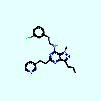 CCCc1nn(C)c2c(NCCc3cccc(Cl)c3)nc(CCc3cccnc3)nc12